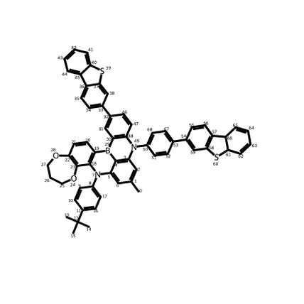 Cc1cc2c3c(c1)N(c1ccc(C(C)(C)C)cc1)c1c(ccc4c1OCCCO4)B3c1cc(-c3ccc4c(c3)sc3ccccc34)ccc1N2c1ccc(-c2ccc3c(c2)SC2C=CC=CC32)cc1